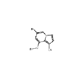 CCOc1cc(Br)cn2ncc(C#N)c12